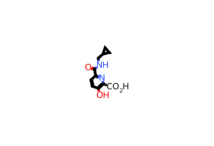 O=C(NCC1CC1)c1ccc(O)c(C(=O)O)n1